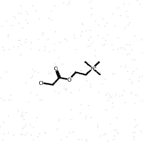 C[N+](C)(C)CCOC(=O)CCl